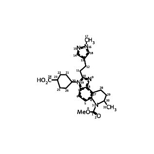 COC(=O)N1c2ccc3c(nc(CCc4cnn(C)c4)n3C3CCC(C(=O)O)CC3)c2CCC1C